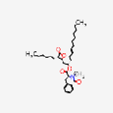 CCCCCCCC=CCC[C@@H](C[C@@H]1OC(=O)[C@H]1CCCCCC)OC(=O)[C@H](Cc1ccccc1)N(C)C=O